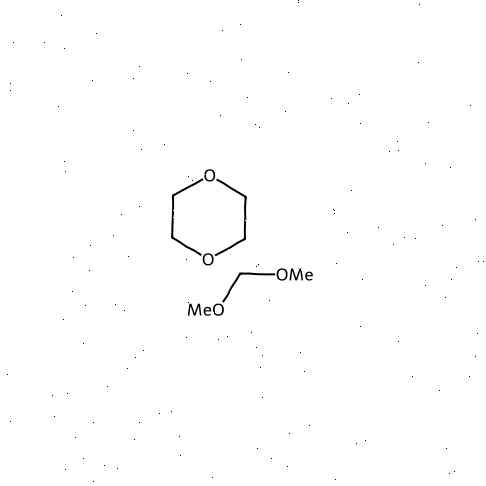 C1COCCO1.COCOC